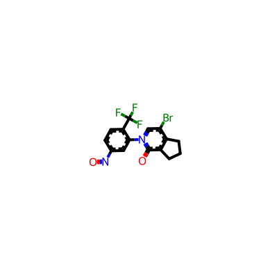 O=Nc1ccc(C(F)(F)F)c(-n2cc(Br)c3c(c2=O)CCC3)c1